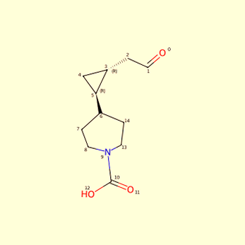 O=CC[C@H]1C[C@@H]1C1CCN(C(=O)O)CC1